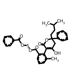 Cc1cccc(C(=O)OSOC(=O)c2ccccc2)c1C1=C(O)CC(CCC(C)C)(c2ccccc2)OC1=O